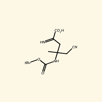 CC(CC#N)(CC(=N)C(=O)O)NC(=O)OC(C)(C)C